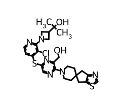 CC(C)(O)C1CN(c2nccc(Sc3cnc(N4CCC5(CC4)Cc4ncsc4C5)c(CO)n3)c2Cl)C1